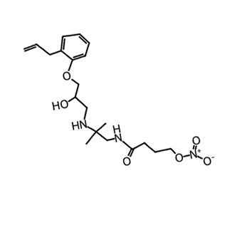 C=CCc1ccccc1OCC(O)CNC(C)(C)CNC(=O)CCCO[N+](=O)[O-]